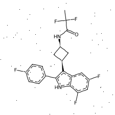 CC(F)(F)C(=O)N[C@H]1C[C@@H](c2c(-c3ccc(F)cc3)[nH]c3c(F)cc(F)cc32)C1